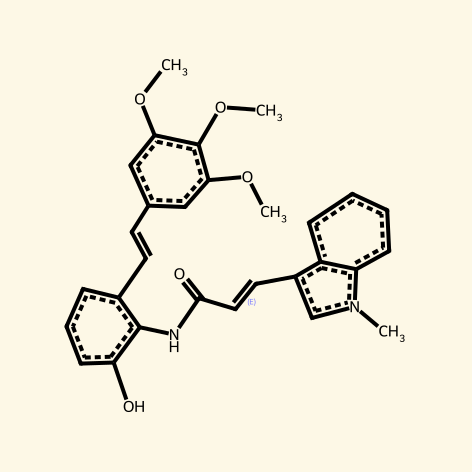 COc1cc(C=Cc2cccc(O)c2NC(=O)/C=C/c2cn(C)c3ccccc23)cc(OC)c1OC